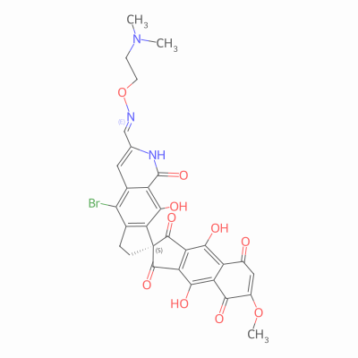 COC1=CC(=O)c2c(O)c3c(c(O)c2C1=O)C(=O)[C@]1(CCc2c1c(O)c1c(=O)[nH]c(/C=N/OCCN(C)C)cc1c2Br)C3=O